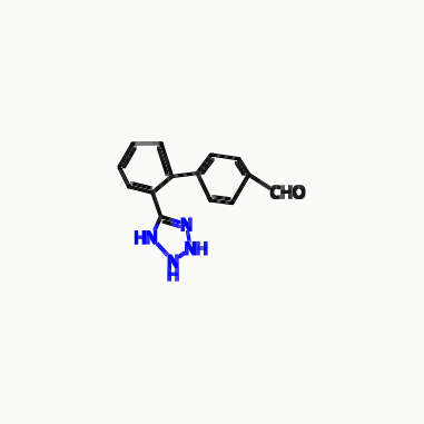 O=Cc1ccc(-c2ccccc2C2=NNNN2)cc1